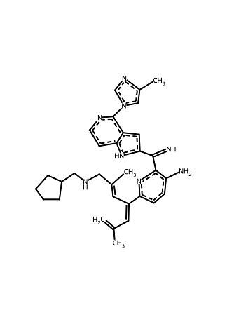 C=C(C)/C=C(\C=C(/C)CNCC1CCCC1)c1ccc(N)c(C(=N)c2cc3c(-n4cnc(C)c4)nccc3[nH]2)n1